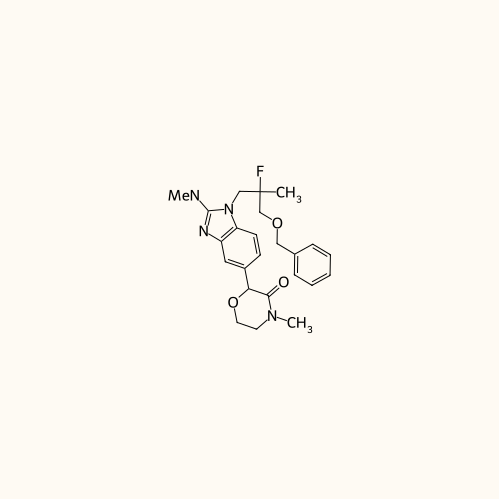 CNc1nc2cc(C3OCCN(C)C3=O)ccc2n1CC(C)(F)COCc1ccccc1